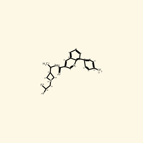 CC(NC(=O)c1cnc2c(-c3ccc(C(F)(F)F)cc3)cccc2c1)C1CN(CC(F)F)C1